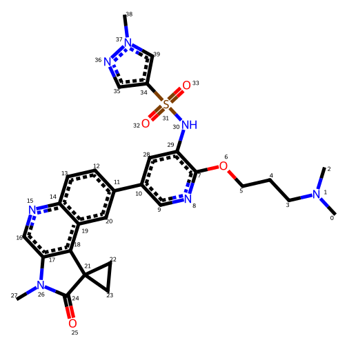 CN(C)CCCOc1ncc(-c2ccc3ncc4c(c3c2)C2(CC2)C(=O)N4C)cc1NS(=O)(=O)c1cnn(C)c1